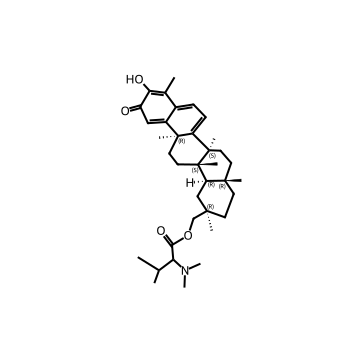 CC1=C(O)C(=O)C=C2C1=CC=C1[C@@]2(C)CC[C@@]2(C)[C@@H]3C[C@](C)(COC(=O)C(C(C)C)N(C)C)CC[C@@]3(C)CC[C@]12C